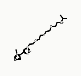 CC(C)NCCOCCOCCOCCn1cc(-c2cncn2C)nn1